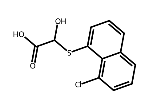 O=C(O)C(O)Sc1cccc2cccc(Cl)c12